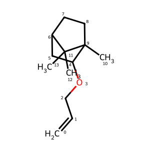 C=CCOC1CC2CCC1(C)C2(C)C